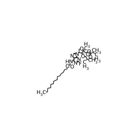 CCCCCCCCCCCCCCOC(=O)Nc1nc(F)nc2c1ncn2C1CO[C@](C)(COC(=O)C(C)C)[C@H]1OC(=O)C(C)C